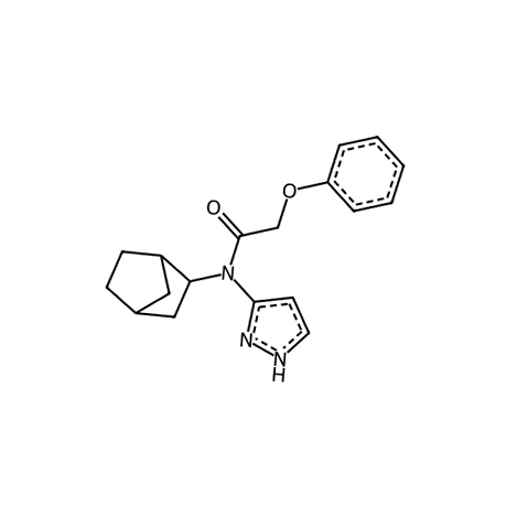 O=C(COc1ccccc1)N(c1cc[nH]n1)C1CC2CCC1C2